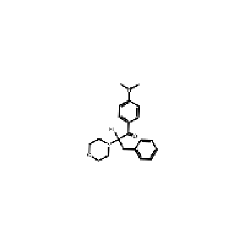 CCC(Cc1ccccc1)(C(=O)c1ccc(N(C)C)cc1)N1CCOCC1